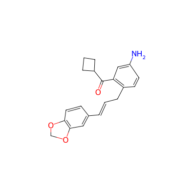 Nc1ccc(C/C=C/c2ccc3c(c2)OCO3)c(C(=O)C2CCC2)c1